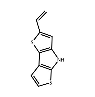 C=Cc1cc2[nH]c3sccc3c2s1